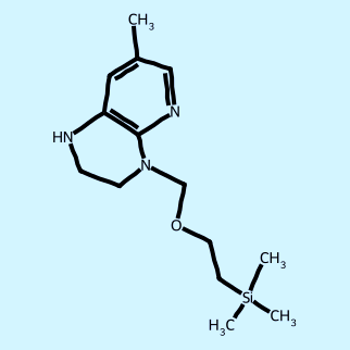 Cc1cnc2c(c1)NCCN2COCC[Si](C)(C)C